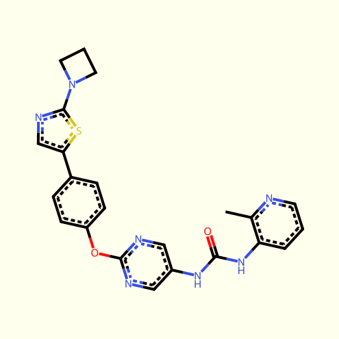 Cc1ncccc1NC(=O)Nc1cnc(Oc2ccc(-c3cnc(N4CCC4)s3)cc2)nc1